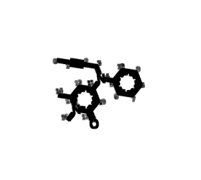 CC#CCN(c1ccccc1)c1cc(C)n(C)c(=O)c1